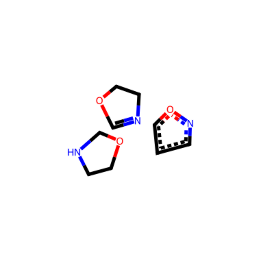 C1=NCCO1.C1COCN1.c1cnoc1